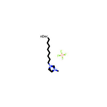 CCCCCCCCCCCCCCCCCCn1cc[n+](C)c1.F[B-](F)(F)F